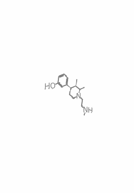 CNCCN1CC[C@@H](c2cccc(O)c2)[C@@H](C)C1C